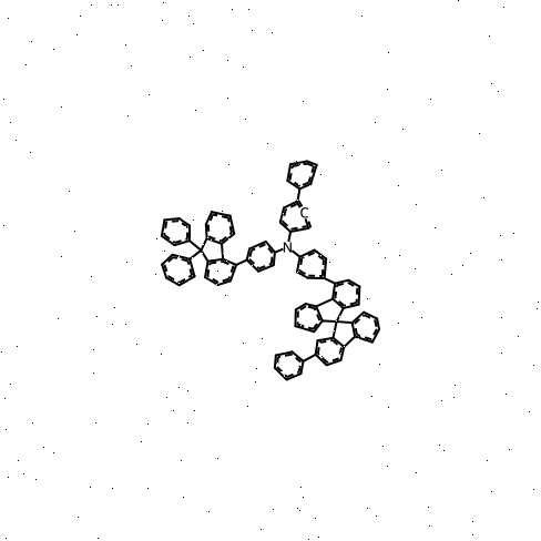 c1ccc(-c2ccc(N(c3ccc(-c4cccc5c4-c4ccccc4C5(c4ccccc4)c4ccccc4)cc3)c3ccc(-c4cccc5c4-c4ccccc4C54c5ccccc5-c5ccc(-c6ccccc6)cc54)cc3)cc2)cc1